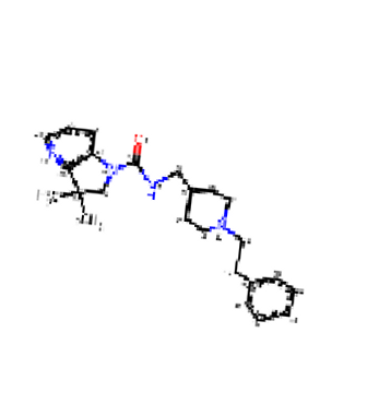 CC1(C)CN(C(=O)NCC2CCN(CCc3ccccc3)CC2)c2cccnc21